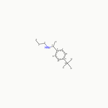 CCCNC(C)c1ccc(C(C)(C)C)cc1